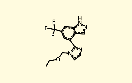 CCOCn1ccnc1-c1cc(C(F)(F)F)cc2[nH]ncc12